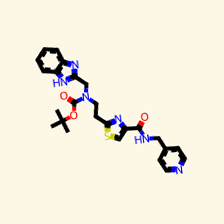 CC(C)(C)OC(=O)N(CCc1nc(C(=O)NCc2ccncc2)cs1)Cc1nc2ccccc2[nH]1